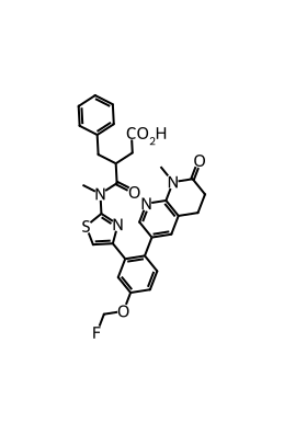 CN(C(=O)C(CC(=O)O)Cc1ccccc1)c1nc(-c2cc(OCF)ccc2-c2cnc3c(c2)CCC(=O)N3C)cs1